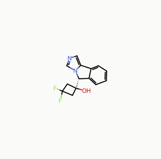 OC1([C@H]2c3ccccc3-c3cncn32)CC(F)(F)C1